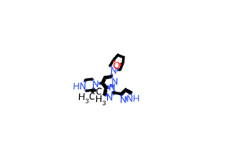 CC1(C)CNCCN1c1cc(N2CC3CCC(C2)O3)nn2c(-c3cc[nH]n3)ncc12